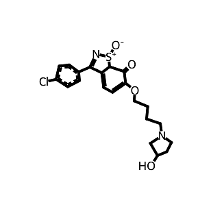 O=C1C(OCCCCN2CCC(O)C2)=CC=C2C(c3ccc(Cl)cc3)=N[S+]([O-])C12